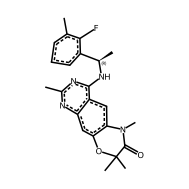 Cc1nc(N[C@H](C)c2cccc(C)c2F)c2cc3c(cc2n1)OC(C)(C)C(=O)N3C